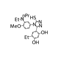 CCCN(CC)c1cc(-n2c(S)nnc2-c2cc(CC)c(O)cc2O)ccc1OC